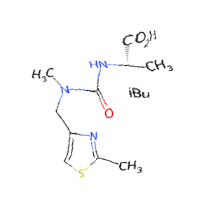 CC[C@H](C)[C@](C)(NC(=O)N(C)Cc1csc(C)n1)C(=O)O